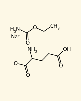 CCOC(N)=O.NC(CCC(=O)O)C(=O)[O-].[Na+]